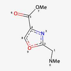 CNCc1nc(C(=O)OC)co1